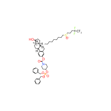 C[C@]12CC[C@@H]3c4ccc(OC(=O)N5CCC(OP(=O)(OCc6ccccc6)OCc6ccccc6)CC5)cc4C[C@@H](CCCCCCCCC[S+]([O-])CCCC(F)(F)C(F)(F)F)[C@H]3[C@@H]1CC[C@@H]2O